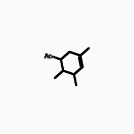 CC(=O)C1CC(C)=CC(C)C1C